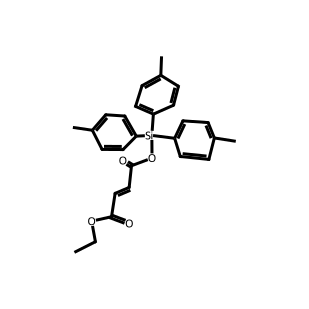 CCOC(=O)C=CC(=O)O[Si](c1ccc(C)cc1)(c1ccc(C)cc1)c1ccc(C)cc1